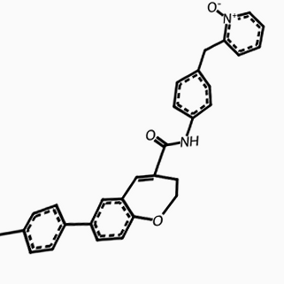 Cc1ccc(-c2ccc3c(c2)C=C(C(=O)Nc2ccc(Cc4cccc[n+]4[O-])cc2)CCO3)cc1